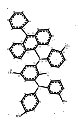 CC(C)(C)c1ccc(N(c2cccc(C(C)(C)C)c2)c2cc(C(C)(C)C)cc(N(c3cccc(C(C)(C)C)c3)c3c4ccccc4c(-c4ccccc4)c4ccccc34)c2Cl)cc1